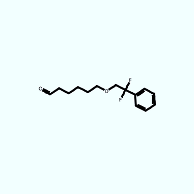 O=CCCCCCOCC(F)(F)c1ccccc1